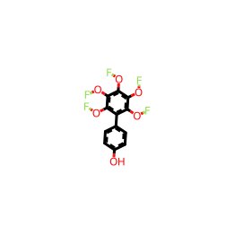 Oc1ccc(-c2c(OF)c(OF)c(OF)c(OF)c2OF)cc1